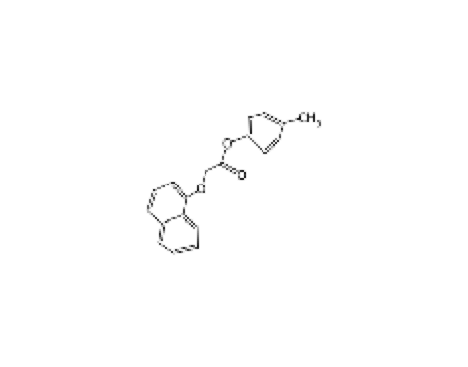 Cc1ccc(OC(=O)COc2cccc3ccccc23)cc1